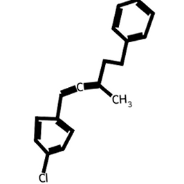 CC(=C=Cc1ccc(Cl)cc1)CCc1ccccc1